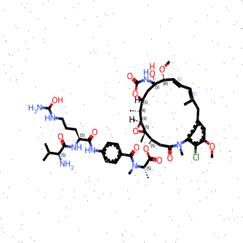 COc1cc2cc(c1Cl)N(C)C(=O)C[C@H](OC(=O)[C@H](C)N(C)C(=O)c1ccc(NC(=O)[C@H](CCCNC(N)O)NC(=O)[C@@H](N)C(C)C)cc1)[C@]1(C)O[C@H]1[C@H](C)[C@@H]1C[C@@](O)(NC(=O)O1)[C@H](OC)/C=C/C=C(\C)C2